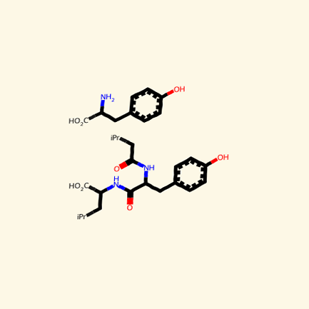 CC(C)CC(=O)NC(Cc1ccc(O)cc1)C(=O)NC(CC(C)C)C(=O)O.NC(Cc1ccc(O)cc1)C(=O)O